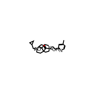 Cc1ccnc(CCN2CCC34CCN(CC5CC5)C(Cc5ccc(O)cc53)C4(O)CC2)c1